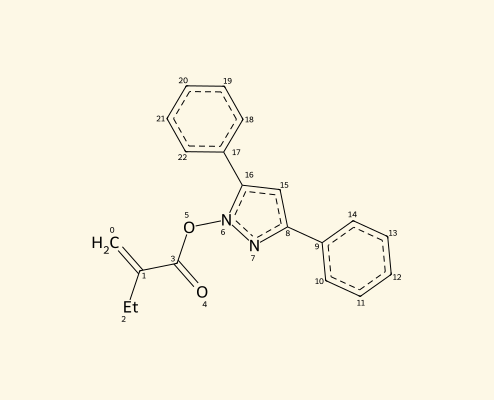 C=C(CC)C(=O)On1nc(-c2ccccc2)cc1-c1ccccc1